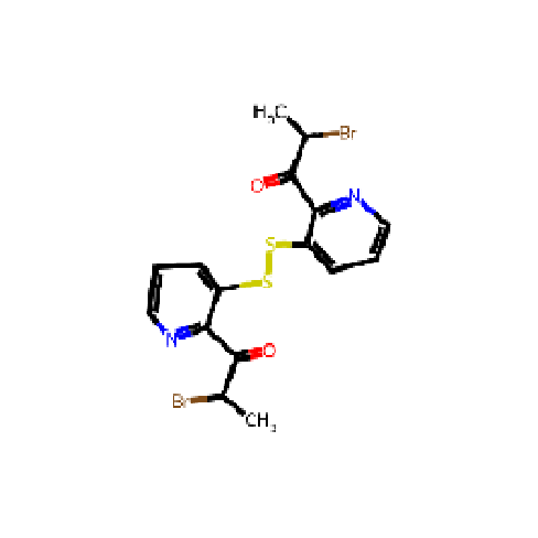 CC(Br)C(=O)c1ncccc1SSc1cccnc1C(=O)C(C)Br